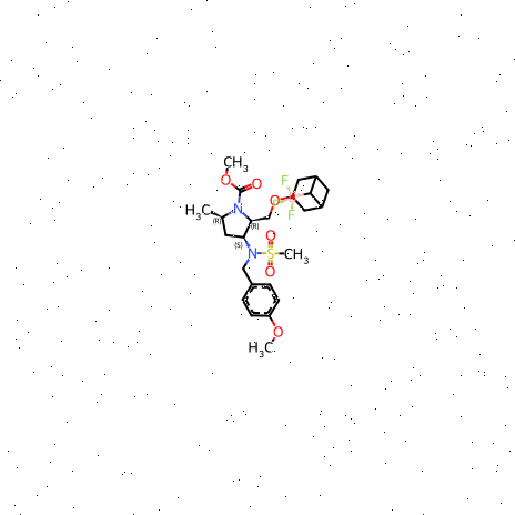 COC(=O)N1[C@H](C)C[C@H](N(Cc2ccc(OC)cc2)S(C)(=O)=O)[C@@H]1COC1CC2CC(C1)C2[B-](F)(F)F